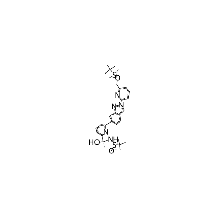 CC(C)(C)[S@@+]([O-])N[C@@](C)(O)c1cccc(-c2ccc3cn(-c4cccc(CO[Si](C)(C)C(C)(C)C)n4)nc3c2)n1